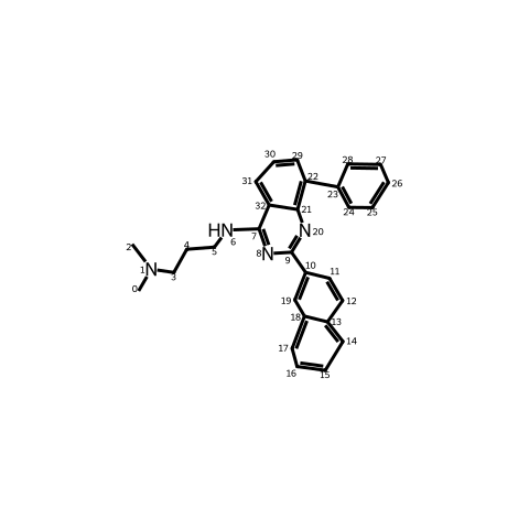 CN(C)CCCNc1nc(-c2ccc3ccccc3c2)nc2c(-c3ccccc3)cccc12